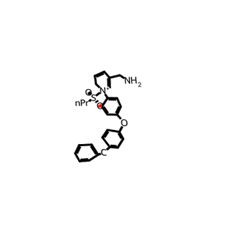 CCCS(=O)(=O)[N+]1(c2ccc(Oc3ccc(Cc4ccccc4)cc3)cc2)C=C(CN)C=CC1